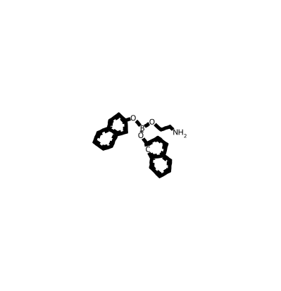 NCCOB(Oc1ccc2ccccc2c1)Oc1ccc2ccccc2c1